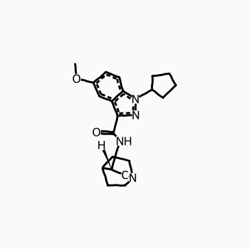 COc1ccc2c(c1)c(C(=O)N[C@@H]1CN3CCC1CC3)nn2C1CCCC1